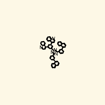 c1cc(-c2nc(-c3cccc(-c4cccc5ccccc45)c3)nc(-c3cc(-c4ccnc5ccccc45)cc(-c4ccnc5ccccc45)c3)n2)cc(-c2cccc3ccccc23)c1